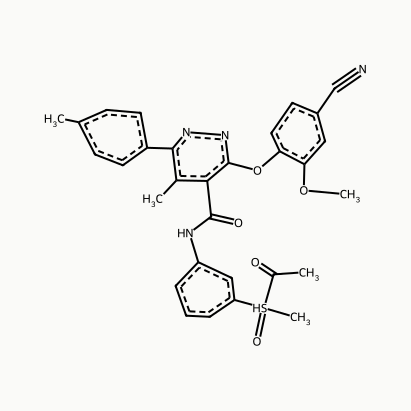 COc1cc(C#N)ccc1Oc1nnc(-c2ccc(C)cc2)c(C)c1C(=O)Nc1cccc([SH](C)(=O)C(C)=O)c1